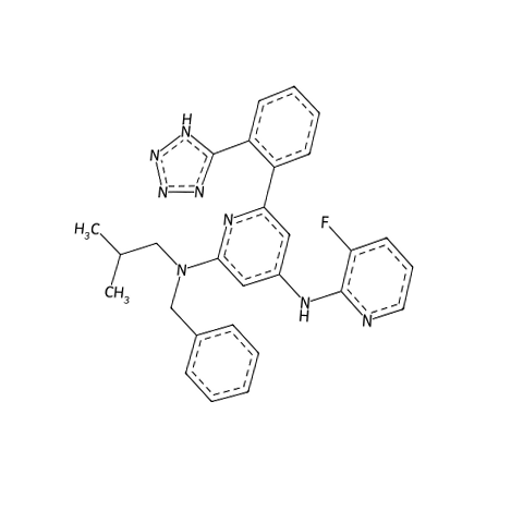 CC(C)CN(Cc1ccccc1)c1cc(Nc2ncccc2F)cc(-c2ccccc2-c2nnn[nH]2)n1